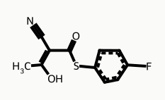 CC(O)=C(C#N)C(=O)Sc1ccc(F)cc1